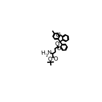 Cc1ccc(C(OC(=O)CCC(N)C(=O)OC(C)(C)C)(c2ccccc2)c2ccccc2Cl)cc1